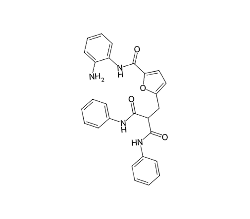 Nc1ccccc1NC(=O)c1ccc(CC(C(=O)Nc2ccccc2)C(=O)Nc2ccccc2)o1